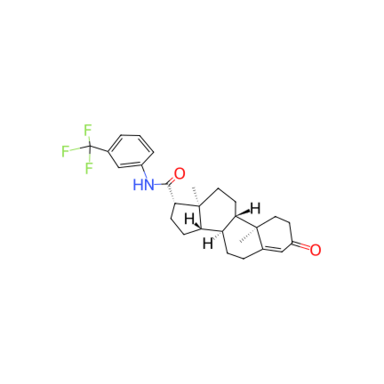 C[C@]12CC[C@H]3[C@@H](CCC4=CC(=O)CC[C@@]43C)[C@@H]1CC[C@@H]2C(=O)Nc1cccc(C(F)(F)F)c1